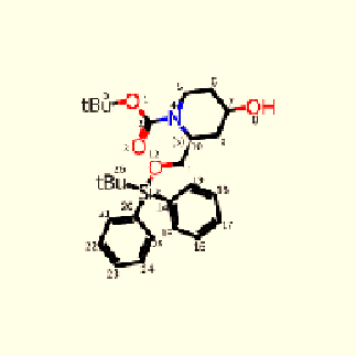 CC(C)(C)OC(=O)N1CCC(O)C[C@H]1CO[Si](c1ccccc1)(c1ccccc1)C(C)(C)C